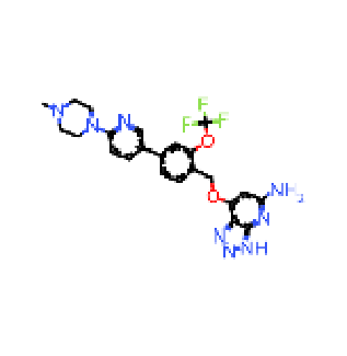 CN1CCN(c2ccc(-c3ccc(COc4cc(N)nc5[nH]nnc45)c(OC(F)(F)F)c3)cn2)CC1